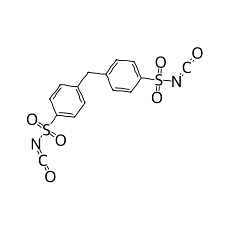 O=C=NS(=O)(=O)c1ccc(Cc2ccc(S(=O)(=O)N=C=O)cc2)cc1